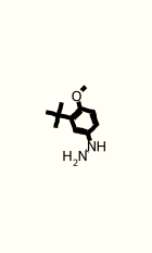 COc1ccc(NN)cc1C(C)(C)C